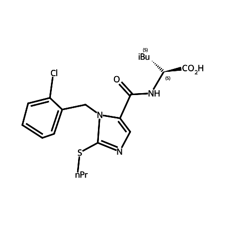 CCCSc1ncc(C(=O)N[C@H](C(=O)O)[C@@H](C)CC)n1Cc1ccccc1Cl